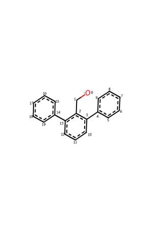 [O]Cc1c(-c2ccccc2)cccc1-c1ccccc1